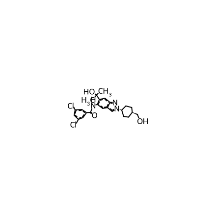 CC(C)(O)c1cc2nn([C@H]3CC[C@H](CO)CC3)cc2cc1NC(=O)c1cc(Cl)cc(Cl)c1